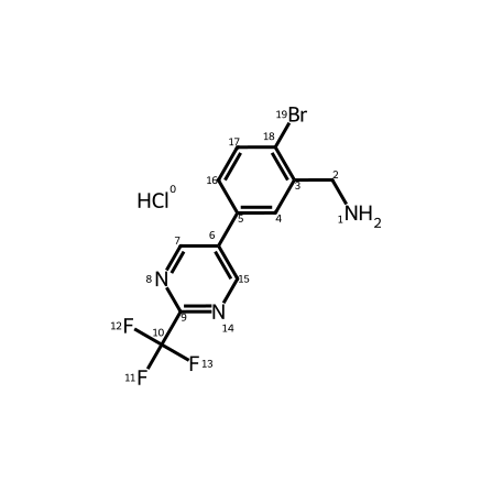 Cl.NCc1cc(-c2cnc(C(F)(F)F)nc2)ccc1Br